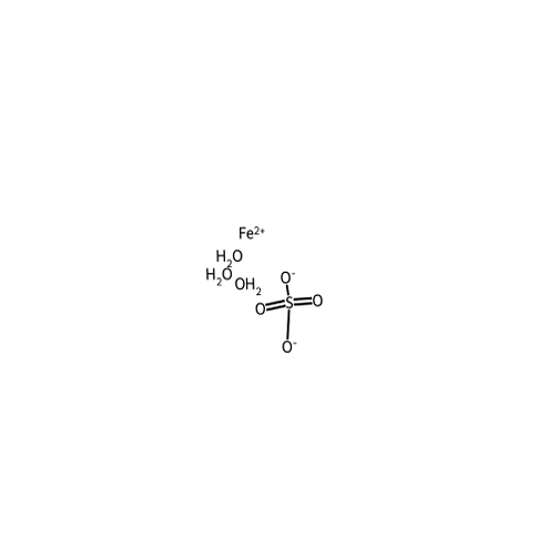 O.O.O.O=S(=O)([O-])[O-].[Fe+2]